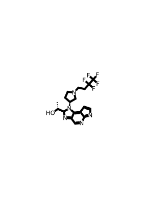 C[C@@H](O)C1N=c2cnc3c(c2N1[C@H]1CCN(CCC(F)(F)C(F)(F)F)C1)C=CN=3